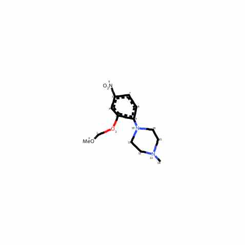 COCOc1cc([N+](=O)[O-])ccc1N1CCN(C)CC1